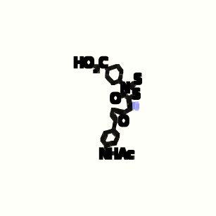 CC(=O)Nc1ccc(-c2ccc(/C=C3/SC(=S)N(C4CCC(C(=O)O)CC4)C3=O)o2)cc1